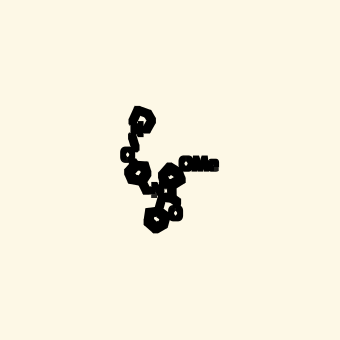 COc1ccc2c(c1)c1c(n2Cc2ccc(OCCN3CCCCC3)cc2)-c2ccccc2OC1